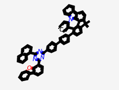 CC1(C)c2ccc(-c3ccc(-c4ccc(-c5nc(-c6cccc7ccccc67)nc(-c6cccc7c6oc6ccccc67)n5)cc4)cc3)c3c2-c2c1ccc1c4ccccc4n(c21)-c1ccccc1-3